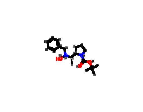 C[C@@H]([C@@H]1CCCN1C(=O)OC(C)(C)C)N(O)Cc1ccccc1